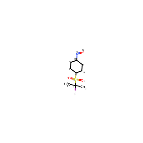 CC(C)(I)S(=O)(=O)C1CCC(N=O)CC1